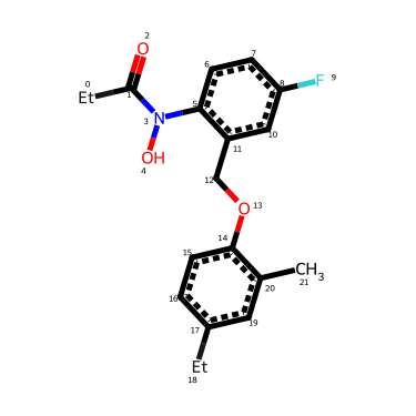 CCC(=O)N(O)c1ccc(F)cc1COc1ccc(CC)cc1C